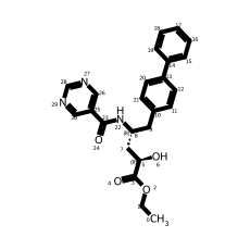 CCOC(=O)[C@H](O)C[C@@H](Cc1ccc(-c2ccccc2)cc1)NC(=O)c1cncnc1